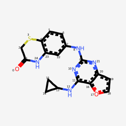 O=C1CSc2ccc(Nc3nc(NC4CC4)c4occc4n3)cc2N1